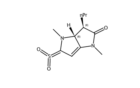 CCC[C@H]1C(=O)N(C)C2=CC(=S(=O)=O)N(C)[C@@H]21